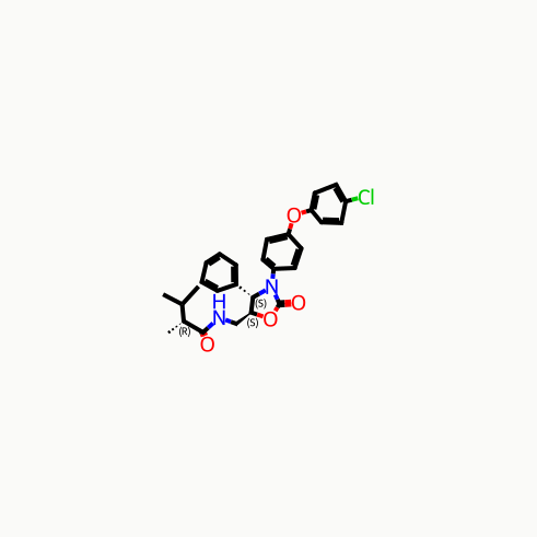 CC(C)[C@@H](C)C(=O)NC[C@@H]1OC(=O)N(c2ccc(Oc3ccc(Cl)cc3)cc2)[C@H]1c1ccccc1